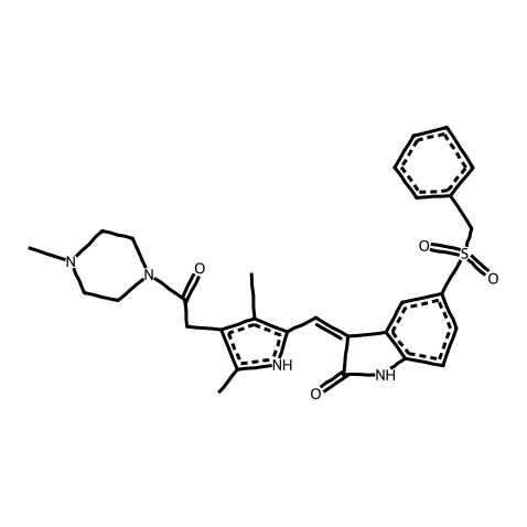 Cc1[nH]c(/C=C2\C(=O)Nc3ccc(S(=O)(=O)Cc4ccccc4)cc32)c(C)c1CC(=O)N1CCN(C)CC1